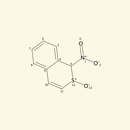 O=[N+]([O-])C1c2ccccc2C=C[S+]1[O-]